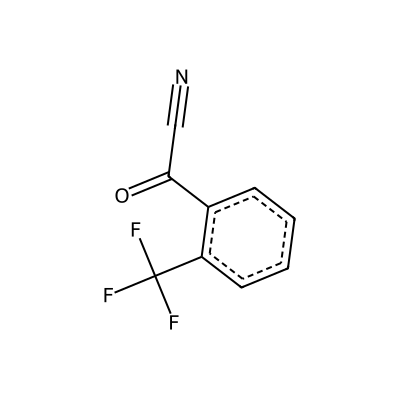 N#CC(=O)c1ccccc1C(F)(F)F